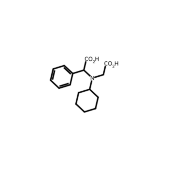 O=C(O)CN(C1CCCCC1)C(C(=O)O)c1ccccc1